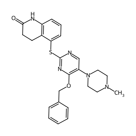 CN1CCN(c2cnc(Sc3cccc4c3CCC(=O)N4)nc2OCc2ccccc2)CC1